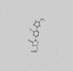 CC(=O)NCC1CN(c2ccc(-c3noc(C)n3)c(F)c2)C(=O)O1